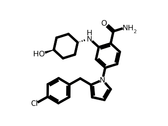 NC(=O)c1ccc(-n2cccc2Cc2ccc(Cl)cc2)cc1N[C@H]1CC[C@H](O)CC1